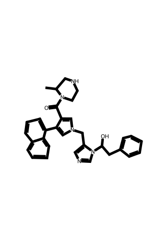 CC1CNCCN1C(=O)c1cn(Cc2cncn2C(O)Cc2ccccc2)cc1-c1cccc2ccccc12